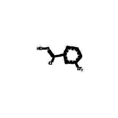 O/N=C(\Cl)c1cccc(C(F)(F)F)c1